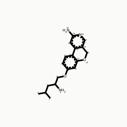 CC(C)CC(N)COc1ccc2c(c1)OCc1cnc(N)cc1-2